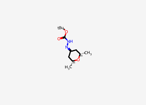 C[C@@H]1CC(=NNC(=O)OC(C)(C)C)C[C@H](C)O1